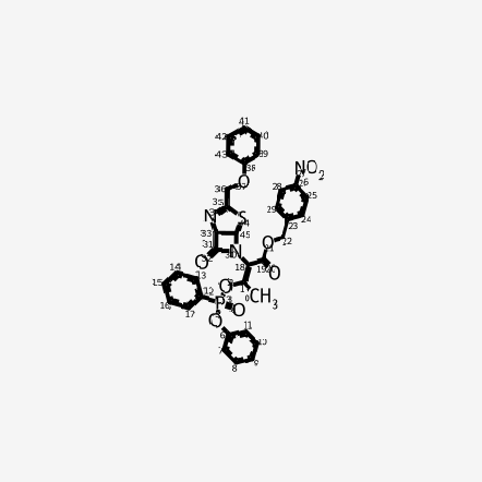 CC(OP(=O)(Oc1ccccc1)c1ccccc1)=C(C(=O)OCc1ccc([N+](=O)[O-])cc1)N1C(=O)C2N=C(COc3ccccc3)SC21